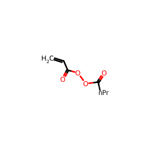 C=CC(=O)OOC(=O)CCC